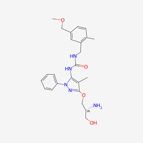 COCc1ccc(C)c(CNC(=O)Nc2c(C)c(OC[C@H](N)CO)nn2-c2ccccc2)c1